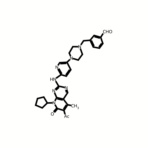 CC(=O)c1c(C)c2cnc(Nc3ccc(N4CCN(Cc5cccc(C=O)c5)CC4)cn3)nc2n(C2CCCC2)c1=O